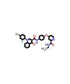 CCNC(=O)c1cc(Oc2ccc(NC(=O)c3cn(-c4ccc(Br)cc4F)c4ccccc4c3=O)cc2)ccn1